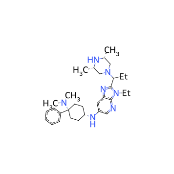 CCC(c1nc2cc(N[C@H]3CC[C@@](c4ccccc4)(N(C)C)CC3)cnc2n1CC)N1C[C@@H](C)N[C@@H](C)C1